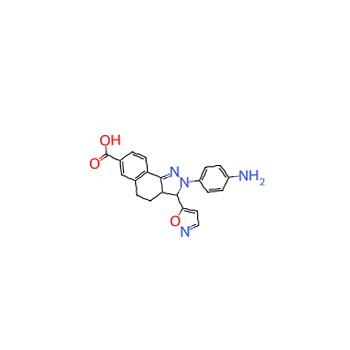 Nc1ccc(N2N=C3c4ccc(C(=O)O)cc4CCC3C2c2ccno2)cc1